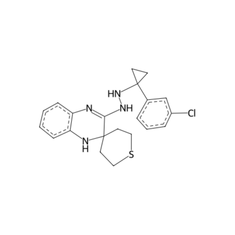 Clc1cccc(C2(NNC3=Nc4ccccc4NC34CCSCC4)CC2)c1